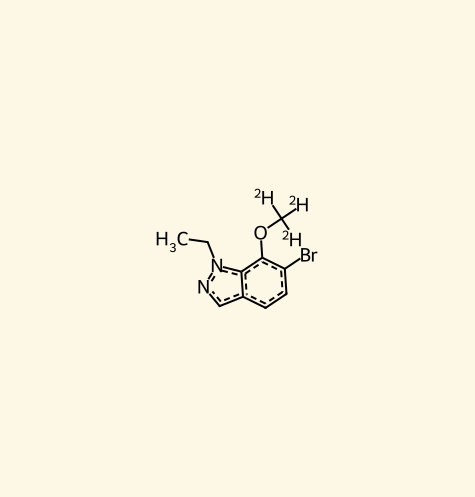 [2H]C([2H])([2H])Oc1c(Br)ccc2cnn(CC)c12